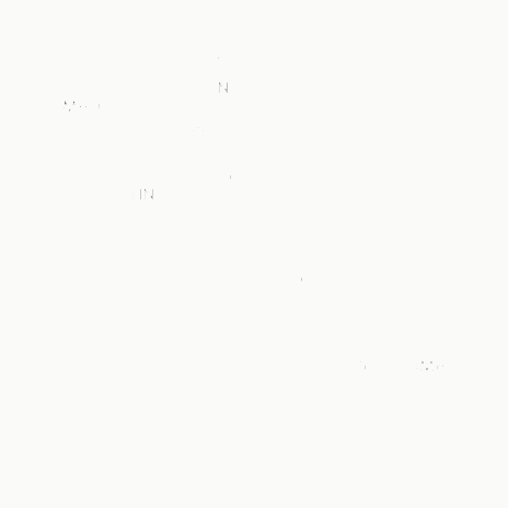 COCCCC(=O)N(C)c1ccccc1COC1CNCCC1c1ccc(OCCCOCc2ccccc2OC)cc1